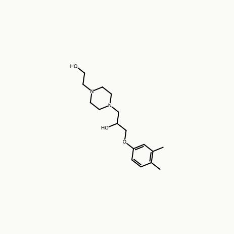 Cc1ccc(OCC(O)CN2CCN(CCO)CC2)cc1C